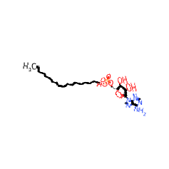 CCCCCCCC/C=C\CCCCCCCCOP(=O)(O)OC[C@H]1O[C@@H](n2cnc3c(N)ncnc32)[C@@H](O)[C@@H]1O